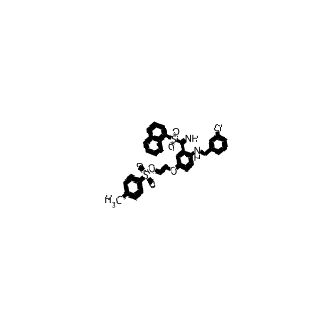 Cc1ccc(S(=O)(=O)OCCOc2ccc(NCc3cccc(Cl)c3)c(C(=N)S(=O)(=O)c3cccc4ccccc34)c2)cc1